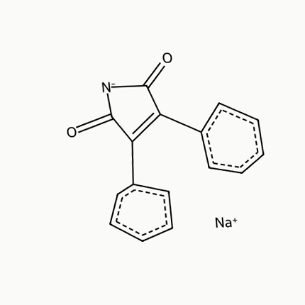 O=C1[N-]C(=O)C(c2ccccc2)=C1c1ccccc1.[Na+]